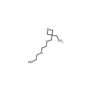 CCC1(COCCOCCO)COC1